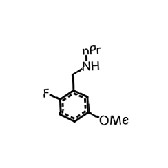 CCCNCc1cc(OC)ccc1F